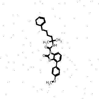 COc1ccc(-c2cccc3c2oc(=O)n3C(=O)NC(C)(C)CCCCC2=CC=CCC2)cc1